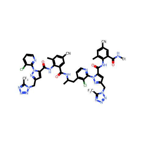 CCNC(=O)c1cc(C#N)cc(C)c1NC(=O)c1cc(Cn2nnnc2C(F)(F)F)nn1-c1nccc(CC(C)NC(=O)c2cc(C#N)cc(C)c2NC(=O)c2cc(Cn3nnnc3C(F)(F)F)nn2-c2ncccc2Cl)c1Cl